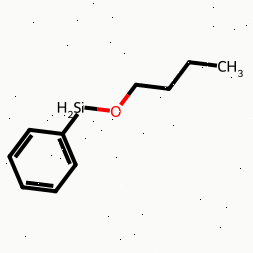 CCCCO[SiH2]c1ccccc1